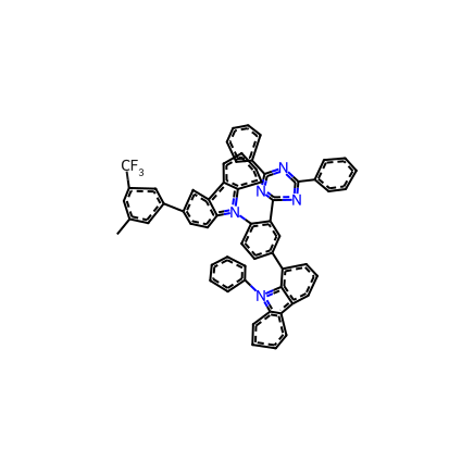 Cc1cc(-c2ccc3c(c2)c2ccccc2n3-c2ccc(-c3cccc4c5ccccc5n(-c5ccccc5)c34)cc2-c2nc(-c3ccccc3)nc(-c3ccccc3)n2)cc(C(F)(F)F)c1